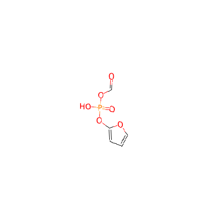 O=COP(=O)(O)Oc1ccco1